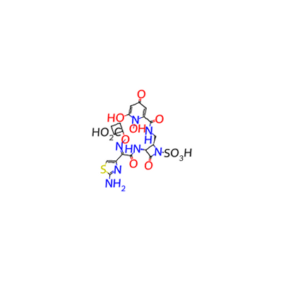 Nc1nc(C(=NOC2(C(=O)O)CCC2)C(=O)N[C@@H]2C(=O)N(S(=O)(=O)O)[C@@H]2CNC(=O)c2cc(=O)cc(O)n2O)cs1